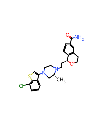 C[C@@H]1CN(c2csc3c(Cl)cccc23)CCN1CC[C@@H]1OCCc2cc(C(N)=O)ccc21